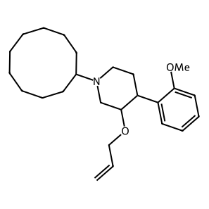 C=CCOC1CN(C2CCCCCCCCC2)CCC1c1ccccc1OC